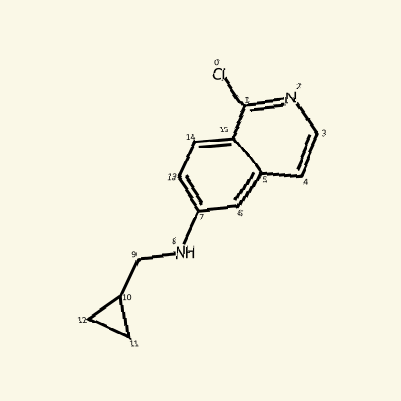 Clc1nccc2cc(NCC3CC3)ccc12